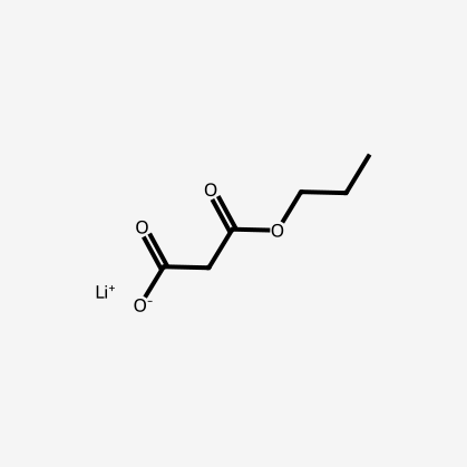 CCCOC(=O)CC(=O)[O-].[Li+]